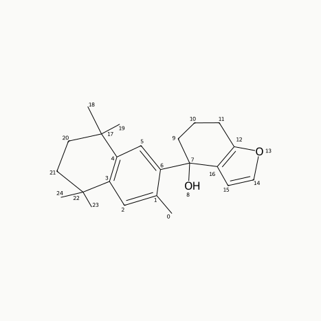 Cc1cc2c(cc1C1(O)CCCc3occc31)C(C)(C)CCC2(C)C